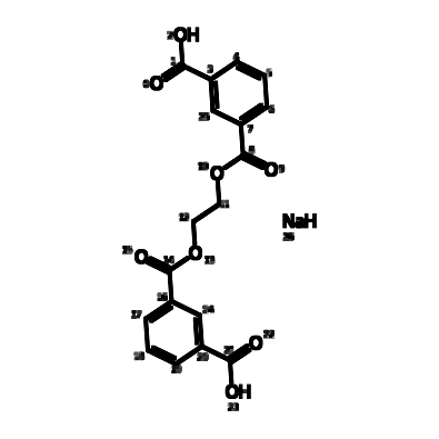 O=C(O)c1cccc(C(=O)OCCOC(=O)c2cccc(C(=O)O)c2)c1.[NaH]